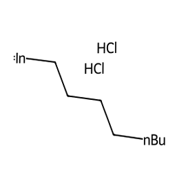 CCCCCCC[CH2][In].Cl.Cl